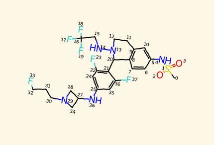 CS(=O)(=O)Nc1ccc2c(c1)CCN(NCC(F)(F)F)C2c1c(F)cc(NC2CN(CCCF)C2)cc1F